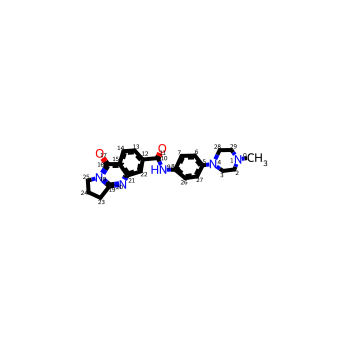 CN1CCN(c2ccc(NC(=O)c3ccc4c(=O)n5c(nc4c3)CCC5)cc2)CC1